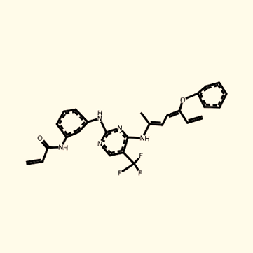 C=CC(=O)Nc1cccc(Nc2ncc(C(F)(F)F)c(N/C(C)=C/C=C(\C=C)Oc3ccccc3)n2)c1